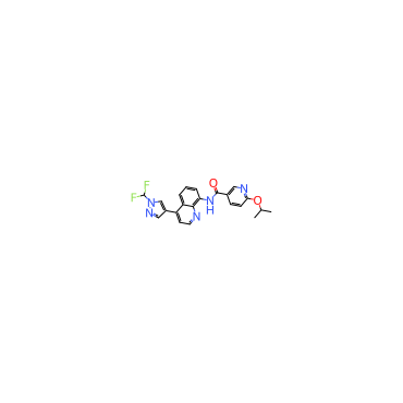 CC(C)Oc1ccc(C(=O)Nc2cccc3c(-c4cnn(C(F)F)c4)ccnc23)cn1